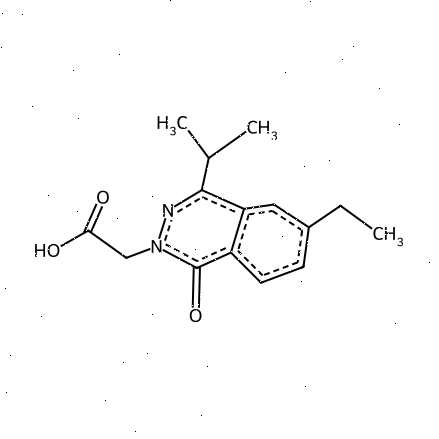 CCc1ccc2c(=O)n(CC(=O)O)nc(C(C)C)c2c1